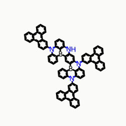 c1ccc2c(c1)B1c3cc4c(cc3Nc3cccc(c31)N2c1ccc2c3ccccc3c3ccccc3c2c1)N(c1ccc2c3ccccc3c3ccccc3c2c1)c1cccc2c1B4c1ccccc1N2c1ccc2c3ccccc3c3ccccc3c2c1